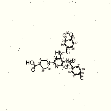 O=C(O)C1CCN(c2ncc(NS(=O)(=O)c3ccc(Cl)cc3)c(NCc3ccc4c(c3)OCO4)n2)CC1